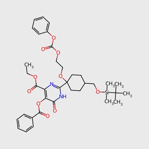 CCOC(=O)c1nc(C2(OCCOC(=O)Oc3ccccc3)CCC(CO[Si](C)(C)C(C)(C)C)CC2)[nH]c(=O)c1OC(=O)c1ccccc1